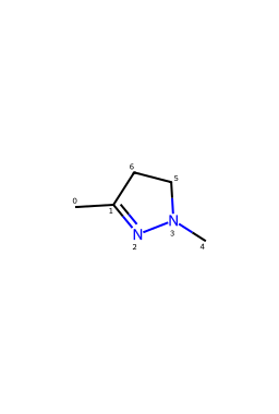 CC1=NN(C)CC1